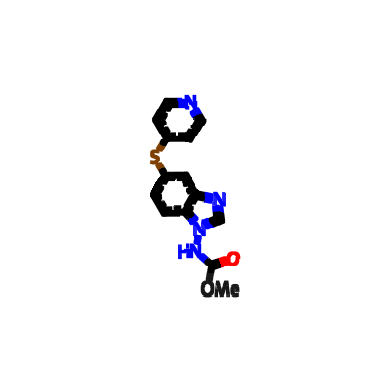 COC(=O)Nn1cnc2cc(Sc3ccncc3)ccc21